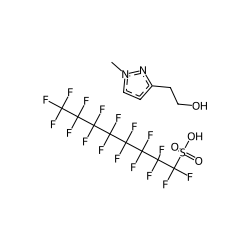 Cn1ccc(CCO)n1.O=S(=O)(O)C(F)(F)C(F)(F)C(F)(F)C(F)(F)C(F)(F)C(F)(F)C(F)(F)C(F)(F)F